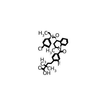 CCN(C(=O)[C@H]1C[C@H](C)N(C(=O)c2ccc(CCC(C)(C)C(=O)O)c(F)c2)c2ccccc21)c1ccc(Cl)cc1